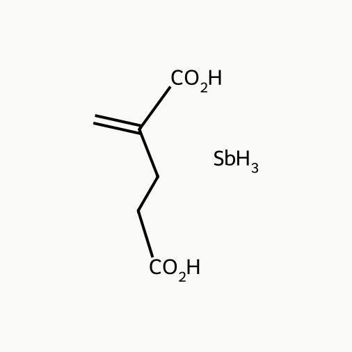 C=C(CCC(=O)O)C(=O)O.[SbH3]